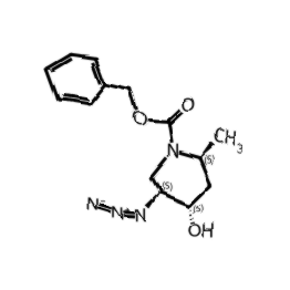 C[C@H]1C[C@H](O)[C@@H](N=[N+]=[N-])CN1C(=O)OCc1ccccc1